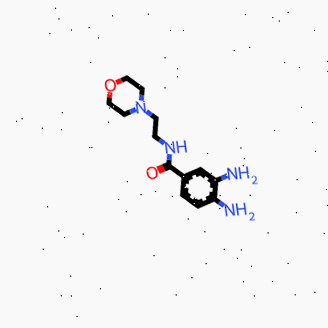 Nc1ccc(C(=O)NCCN2CCOCC2)cc1N